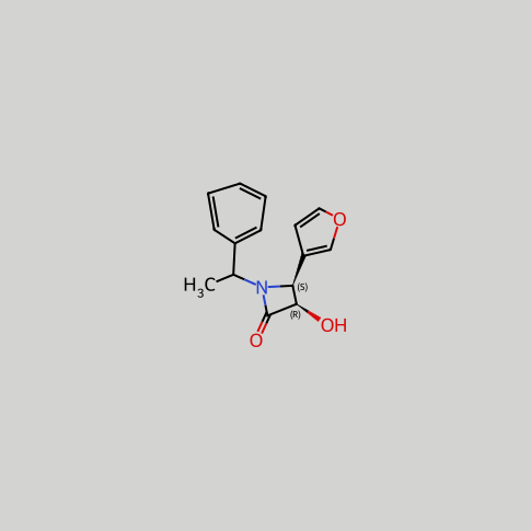 CC(c1ccccc1)N1C(=O)[C@H](O)[C@@H]1c1ccoc1